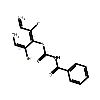 C=C/C(Cl)=C(NC(=S)NC(=O)c1ccccc1)\C(=C/C)C(C)C